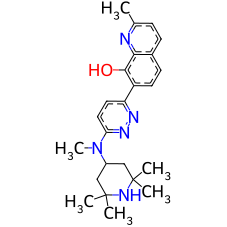 Cc1ccc2ccc(-c3ccc(N(C)C4CC(C)(C)NC(C)(C)C4)nn3)c(O)c2n1